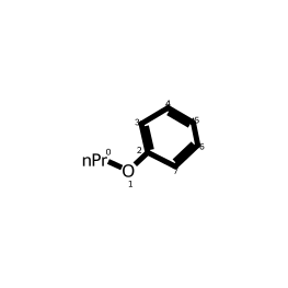 CCCOc1cc[c]cc1